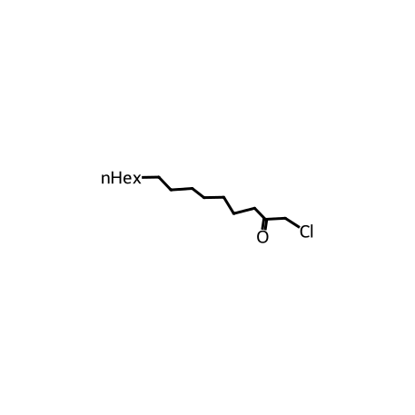 CCCCCCCCCCCCCC(=O)CCl